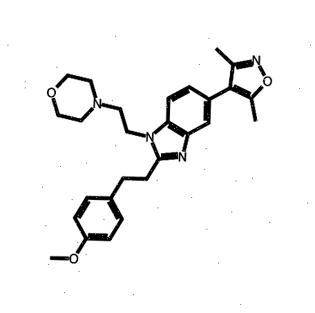 COc1ccc(CCc2nc3cc(-c4c(C)noc4C)ccc3n2CCN2CCOCC2)cc1